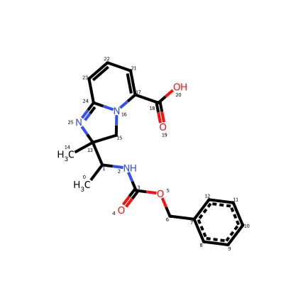 CC(NC(=O)OCc1ccccc1)C1(C)CN2C(C(=O)O)=CC=CC2=N1